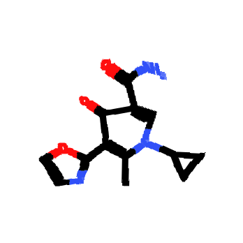 Cc1c(-c2ncco2)c(=O)c(C(N)=O)cn1C1CC1